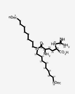 CCCCCCCCCCCCCCCCCCN(CCCCCCCCCCCCCCCCCC)C(=O)C(N)CCC(NC(=N)N)C(=O)O